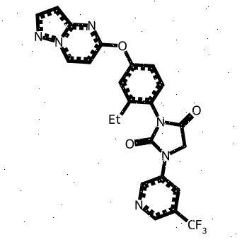 CCc1cc(Oc2ccn3nccc3n2)ccc1N1C(=O)CN(c2cncc(C(F)(F)F)c2)C1=O